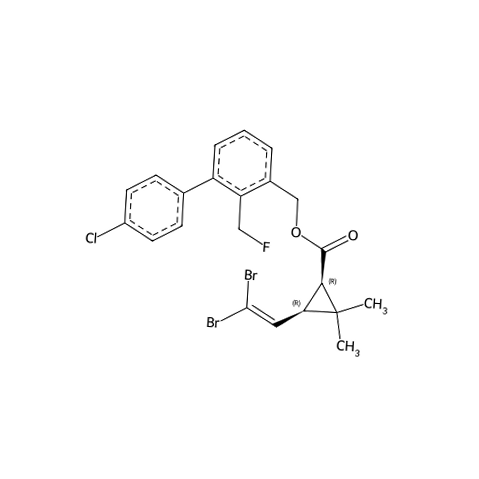 CC1(C)[C@H](C(=O)OCc2cccc(-c3ccc(Cl)cc3)c2CF)[C@@H]1C=C(Br)Br